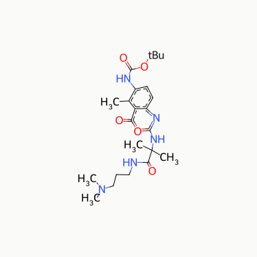 Cc1c(NC(=O)OC(C)(C)C)ccc2nc(NC(C)(C)C(=O)NCCCN(C)C)oc(=O)c12